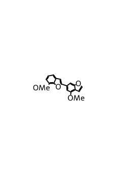 COc1cc(-c2cc3cccc(OC)c3o2)cc2occc12